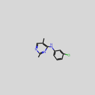 Cc1ncc(C)c(Nc2cccc(Cl)c2)n1